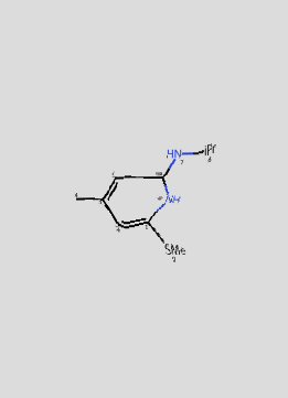 CSC1=CC(C)=CC(NC(C)C)N1